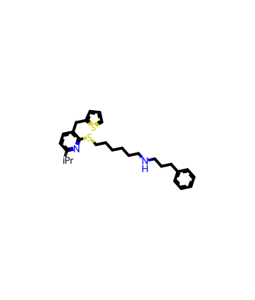 CC(C)c1ccc(Cc2cccs2)c(SCCCCCCNCCCc2ccccc2)n1